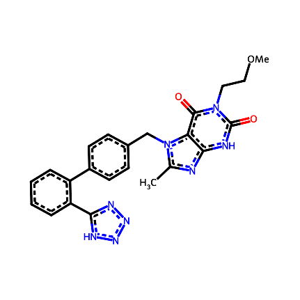 COCCn1c(=O)[nH]c2nc(C)n(Cc3ccc(-c4ccccc4-c4nnn[nH]4)cc3)c2c1=O